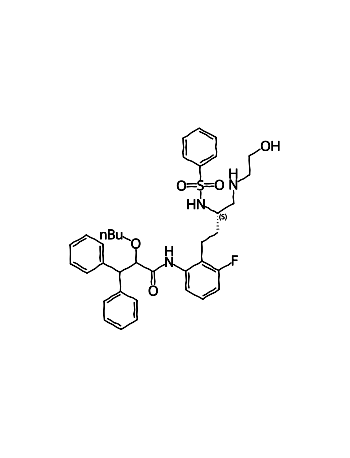 CCCCOC(C(=O)Nc1cccc(F)c1CC[C@@H](CNCCO)NS(=O)(=O)c1ccccc1)C(c1ccccc1)c1ccccc1